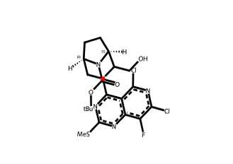 CSc1nc(N2C[C@H]3CC[C@@H](C2CO)N3C(=O)OC(C)(C)C)c2c(Cl)nc(Cl)c(F)c2n1